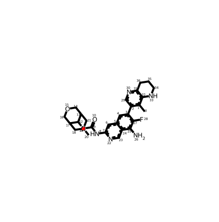 Cc1c(-c2cc3cc(NC(=O)OC4C5COCC4CN(C)C5)ncc3c(N)c2F)cnc2c1NCCC2